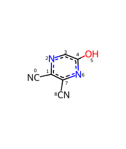 N#Cc1ncc(O)nc1C#N